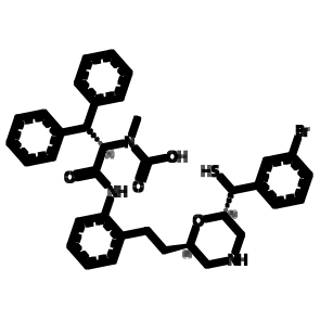 CN(C(=O)O)[C@H](C(=O)Nc1ccccc1CC[C@@H]1CNC[C@@H](C(S)c2cccc(Br)c2)O1)C(c1ccccc1)c1ccccc1